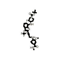 CNC(=O)c1ccc(NCC#Cc2sc3c(N[C@@H]4CCN(C(=O)OC(C)(C)C)C[C@@H]4F)cccc3c2SC(F)(F)F)c(OC)c1